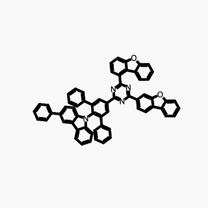 c1ccc(-c2ccc3c(c2)c2ccccc2n3-c2c(-c3ccccc3)cc(-c3nc(-c4ccc5c(c4)oc4ccccc45)nc(-c4cccc5oc6ccccc6c45)n3)cc2-c2ccccc2)cc1